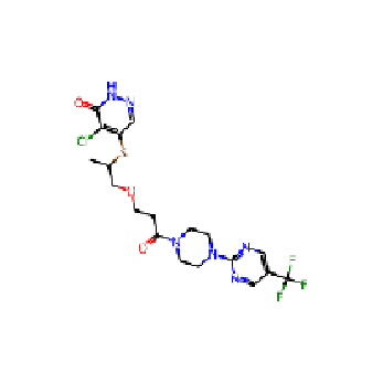 CC(COCCC(=O)N1CCN(c2ncc(C(F)(F)F)cn2)CC1)Sc1cn[nH]c(=O)c1Cl